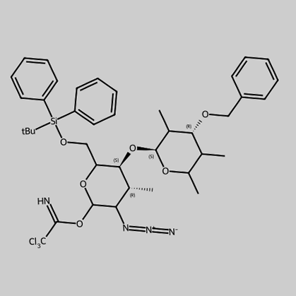 CC1O[C@@H](O[C@@H]2C(CO[Si](c3ccccc3)(c3ccccc3)C(C)(C)C)OC(OC(=N)C(Cl)(Cl)Cl)C(N=[N+]=[N-])[C@H]2C)C(C)[C@H](OCc2ccccc2)C1C